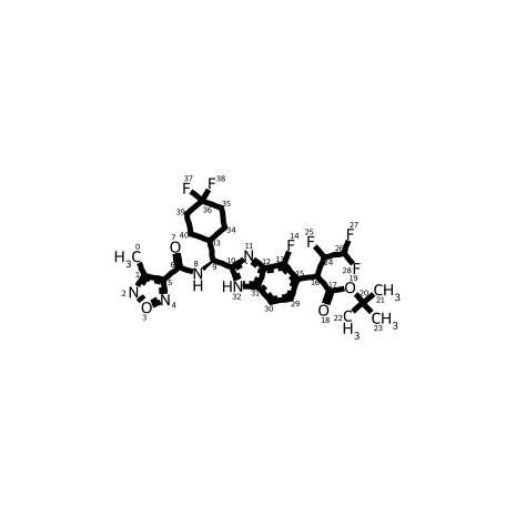 Cc1nonc1C(=O)N[C@H](c1nc2c(F)c(C(C(=O)OC(C)(C)C)C(F)C(F)F)ccc2[nH]1)C1CCC(F)(F)CC1